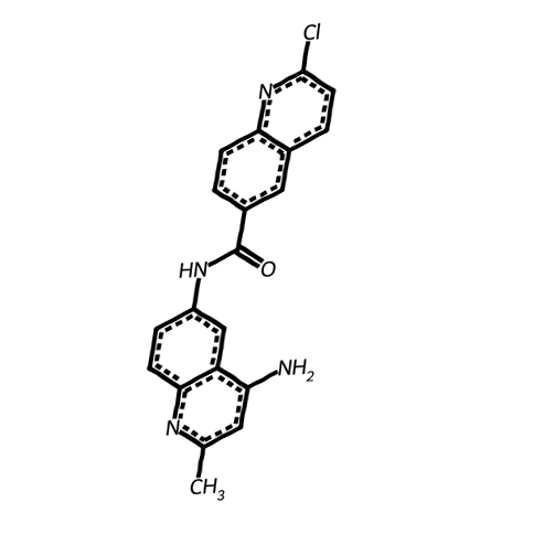 Cc1cc(N)c2cc(NC(=O)c3ccc4nc(Cl)ccc4c3)ccc2n1